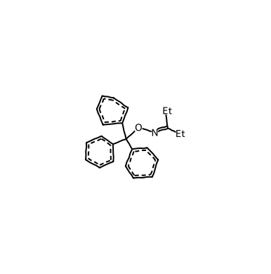 CCC(CC)=NOC(c1ccccc1)(c1ccccc1)c1ccccc1